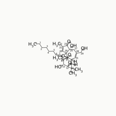 CCCCCCCCCC(=O)O[C@@]12[C@H](O)[C@@H](C)[C@]34O[C@]35C=C(C)C(=O)[C@@]5(O)CC(CO)=C[C@H]4[C@@H]1C2(C)C